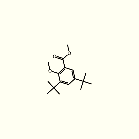 COC(=O)c1cc(C(C)(C)C)cc(C(C)(C)C)c1OC